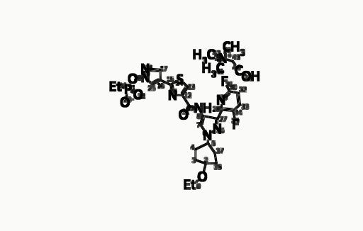 CCOC1CCC(n2cc(NC(=O)c3csc(-c4cnn(OP(=O)([O-])CC)c4)n3)c(-c3nc(F)ccc3F)n2)CC1.C[N+](C)(C)CCO